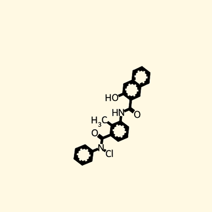 Cc1c(NC(=O)c2cc3ccccc3cc2O)cccc1C(=O)N(Cl)c1ccccc1